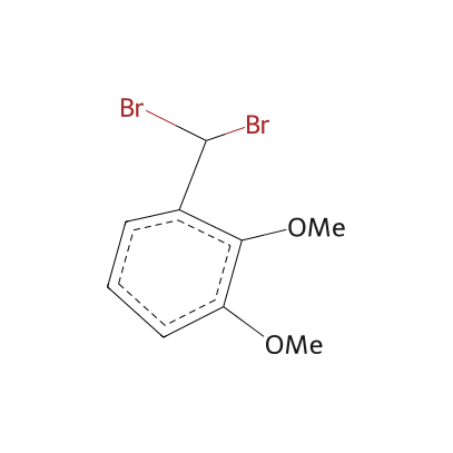 COc1cccc(C(Br)Br)c1OC